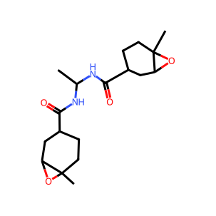 CC(NC(=O)C1CCC2(C)OC2C1)NC(=O)C1CCC2(C)OC2C1